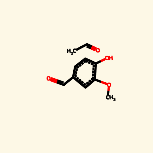 CC=O.COc1cc(C=O)ccc1O